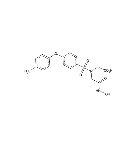 Cc1ccc(Oc2ccc(S(=O)(=O)N(CC(=O)O)CC(=O)NO)cc2)cc1